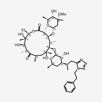 CC[C@H]1OC(=O)[C@H](C)[C@@H](O[C@H]2C[C@@](C)(OC)[C@@H](O)[C@H](C)O2)[C@H](C)[C@@H](O[C@@H]2O[C@H](C)C[C@H](N(C)Cc3nnnn3CCc3ccccc3)[C@H]2O)[C@](C)(O)C[C@@H](C)C(=O)[C@H](C)[C@@H](O)[C@]1(C)O